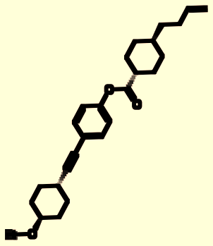 C=CCC[C@H]1CC[C@H](C(=O)Oc2ccc(C#C[C@H]3CC[C@H](OCC)CC3)cc2)CC1